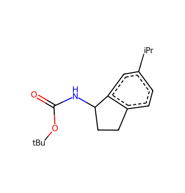 CC(C)c1ccc2c(c1)C(NC(=O)OC(C)(C)C)CC2